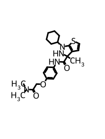 CN(C)C(=O)COc1ccc(NC(=O)C2(C)NN(C3CCCCC3)c3sccc32)cc1